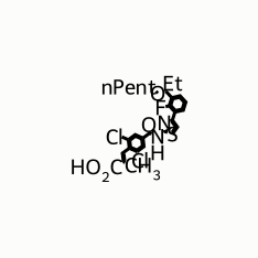 CCCCCOC(CC)c1cccc(-c2csc(NC(=O)c3cc(Cl)c(C=C(C)C(=O)O)c(Cl)c3)n2)c1F